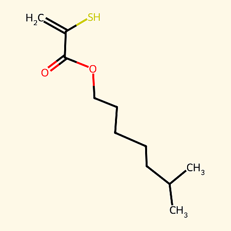 C=C(S)C(=O)OCCCCCC(C)C